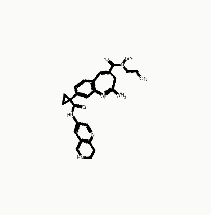 CCCN(CCO)C(=O)C1=Cc2ccc(C3(C(=O)Nc4cnc5c(c4)CNCC5)CC3)cc2N=C(N)C1